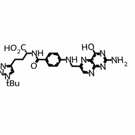 CC(C)(C)n1cc(CC[C@H](NC(=O)c2ccc(NCc3cnc4nc(N)nc(O)c4n3)cc2)C(=O)O)nn1